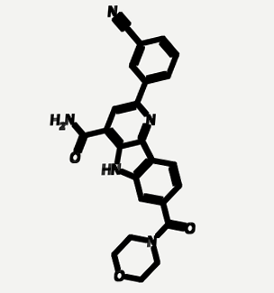 N#Cc1cccc(-c2cc(C(N)=O)c3[nH]c4cc(C(=O)N5CCOCC5)ccc4c3n2)c1